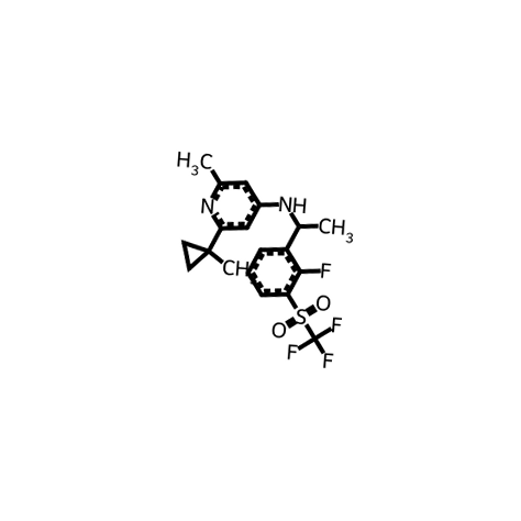 Cc1cc(NC(C)c2cccc(S(=O)(=O)C(F)(F)F)c2F)cc(C2(C)CC2)n1